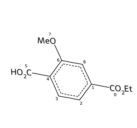 CCOC(=O)c1ccc(C(=O)O)c(OC)c1